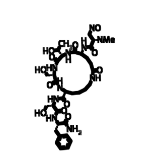 CN[C@@H](CN=O)C(=O)N[C@H]1CCC(=O)NCCCC[C@@H](C(=O)N[C@@H](CO)C(=O)N[C@@H](Cc2ccccc2)C(N)=O)NC(=O)[C@H](CO)NC(=O)[C@H](C(C)O)NC1=O